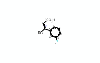 CC/C(=C/C(=O)O)c1cccc(F)c1